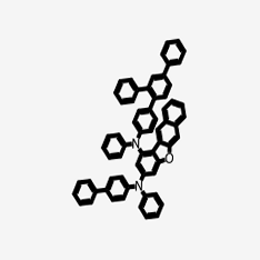 c1ccc(-c2ccc(N(c3ccccc3)c3cc(N(c4ccccc4)c4ccc(-c5ccc(-c6ccccc6)cc5-c5ccccc5)cc4)c4c(c3)oc3cc5ccccc5cc34)cc2)cc1